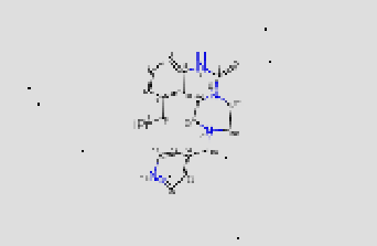 C=C(Nc1cccc(CC(C)C)c1)N1CCN(Cc2ccncc2)CC1